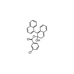 O=C(OC1(O)CC=c2ccccc2=C1c1cccc2ccccc12)c1cccc(Cl)c1